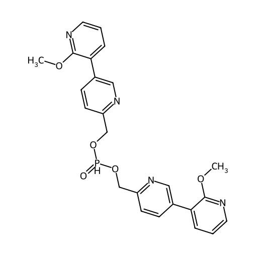 COc1ncccc1-c1ccc(CO[PH](=O)OCc2ccc(-c3cccnc3OC)cn2)nc1